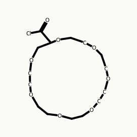 O=C(Cl)C1COCCOCCOCCOCCOCCOCCO1